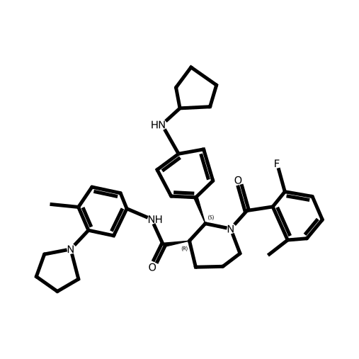 Cc1ccc(NC(=O)[C@@H]2CCCN(C(=O)c3c(C)cccc3F)[C@@H]2c2ccc(NC3CCCC3)cc2)cc1N1CCCC1